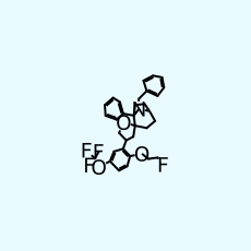 FCCOc1ccc(OC(F)(F)F)cc1C1COC2(CCC3CCC2(c2ccccc2)N3Cc2ccccc2)C1